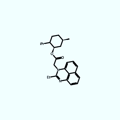 CCC1=Nc2cccc3cccc(c23)N1CC(=O)O[C@@H]1C[C@H](C)CCC1C(C)C